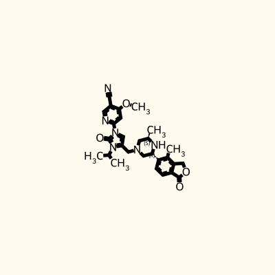 COc1cc(-n2cc(CN3C[C@@H](c4ccc5c(c4C)COC5=O)N[C@@H](C)C3)n(C(C)C)c2=O)ncc1C#N